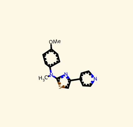 COc1ccc(N(C)c2nc(-c3ccncc3)cs2)cc1